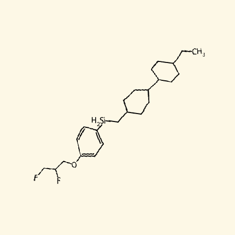 CCC1CCC(C2CCC(C[SiH2]c3ccc(OCC(F)CF)cc3)CC2)CC1